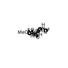 COc1ccc2c(c1F)C(=O)N(C[C@@]1(c3cc4nc(Nc5cncc(F)c5)ccc4o3)NC(=O)NC1=O)C2